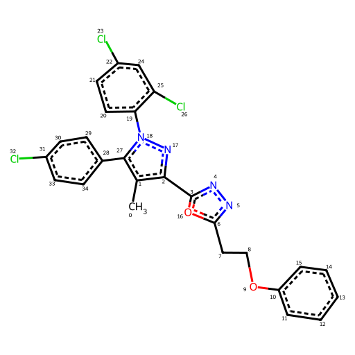 Cc1c(-c2nnc(CCOc3ccccc3)o2)nn(-c2ccc(Cl)cc2Cl)c1-c1ccc(Cl)cc1